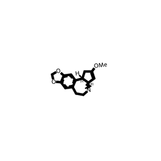 COC1=C[C@]23CCCN2CCc2cc4c(cc2[C@@H]3C1)OCO4